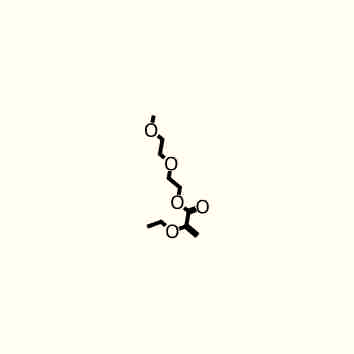 C=C(OCC)C(=O)OCCOCCOC